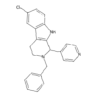 Clc1ccc2[nH]c3c(c2c1)CCN(Cc1ccccc1)C3c1ccncc1